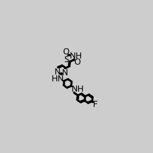 O=C1NC(=O)/C(=C/c2ccnc(N[C@H]3CC[C@H](NCc4ccc5cc(F)ccc5c4)CC3)n2)S1